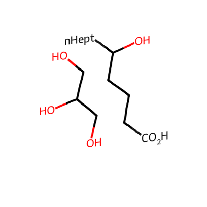 CCCCCCCC(O)CCCC(=O)O.OCC(O)CO